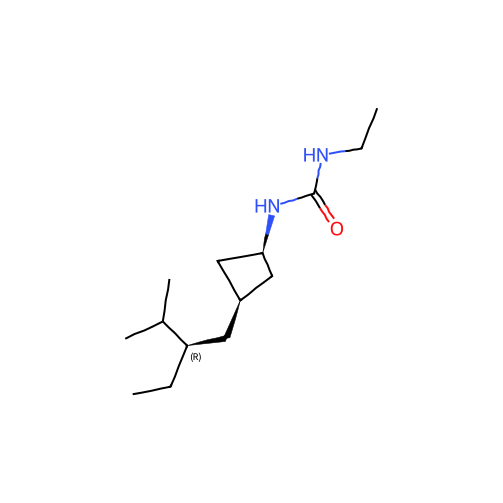 CCNC(=O)N[C@H]1C[C@@H](C[C@@H](CC)C(C)C)C1